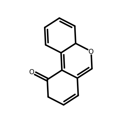 O=C1CC=CC2=COC3C=CC=CC3=C12